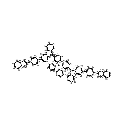 c1ccc(C2(c3ccccc3)c3cc(-n4c5ccccc5c5cc(-c6ccc(-c7nc8ccccc8o7)cc6)ccc54)ccc3-c3ccc(-n4c5ccccc5c5cc(-c6ccc(-c7nc8ccccc8o7)cc6)ccc54)cc32)cc1